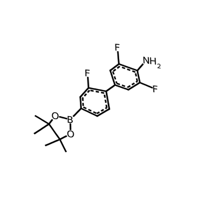 CC1(C)OB(c2ccc(-c3cc(F)c(N)c(F)c3)c(F)c2)OC1(C)C